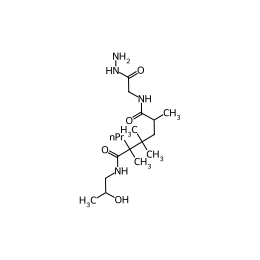 CCCC(C)(C(=O)NCC(C)O)C(C)(C)CC(C)C(=O)NCC(=O)NN